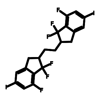 Fc1cc(I)cc2c1C(F)(F)C(CCC1Cc3cc(I)cc(F)c3C1(F)F)C2